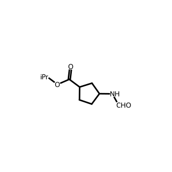 CC(C)OC(=O)C1CCC(NC=O)C1